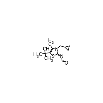 Cc1c(C(C)(C)C)s/c(=N\C=O)n1CC1CC1